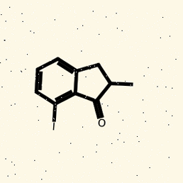 CC1Cc2cccc(I)c2C1=O